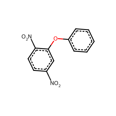 O=[N+]([O-])c1ccc([N+](=O)[O-])c(Oc2ccccc2)c1